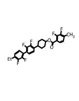 CCc1ccc(-c2ccc(C3CCC(OC(=O)c4ccc(C)c(F)c4F)CC3)c(F)c2F)c(F)c1F